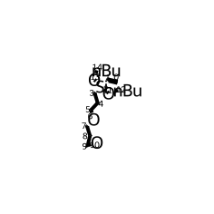 C=C[Si](CCCOCC1CO1)(OCCCC)OCCCC